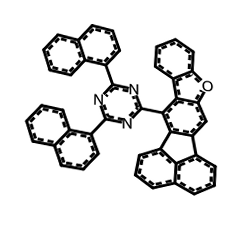 c1ccc2c(-c3nc(-c4cccc5ccccc45)nc(-c4c5c(cc6oc7ccccc7c46)-c4cccc6cccc-5c46)n3)cccc2c1